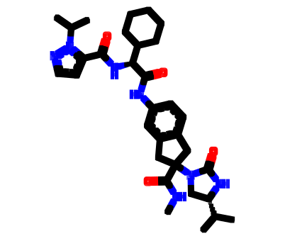 CNC(=O)C1(N2C[C@@H](C(C)C)NC2=O)Cc2ccc(NC(=O)[C@@H](NC(=O)c3ccnn3C(C)C)C3CCCCC3)cc2C1